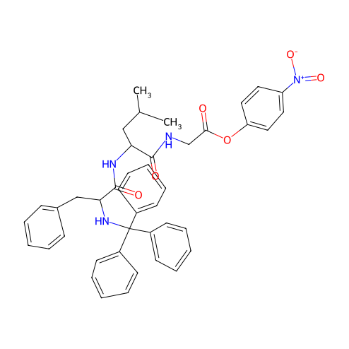 CC(C)CC(NC(=O)C(Cc1ccccc1)NC(c1ccccc1)(c1ccccc1)c1ccccc1)C(=O)NCC(=O)Oc1ccc([N+](=O)[O-])cc1